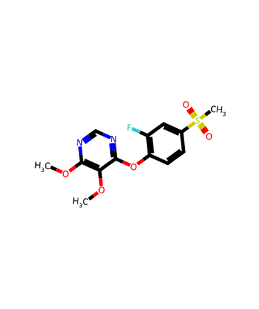 COc1ncnc(Oc2ccc(S(C)(=O)=O)cc2F)c1OC